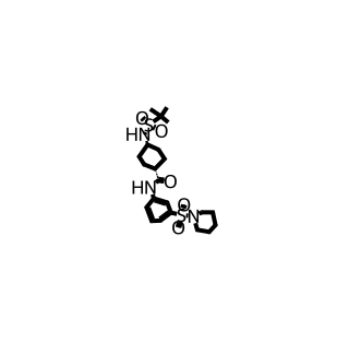 CC(C)(C)S(=O)(=O)N[C@H]1CC[C@H](C(=O)Nc2cccc(S(=O)(=O)N3CCCCC3)c2)CC1